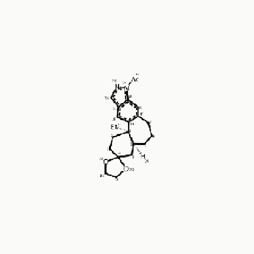 CC[C@@]12CCC3(C[C@@H]1CCCc1cc4c(cnn4C(C)=O)cc12)OCCO3